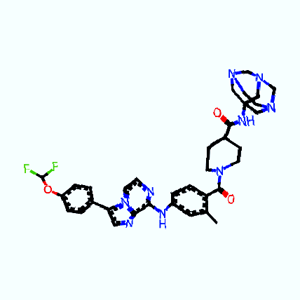 Cc1cc(Nc2nccn3c(-c4ccc(OC(F)F)cc4)cnc23)ccc1C(=O)N1CCC(C(=O)NC23CN4CN(CN(C4)C2)C3)CC1